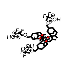 CC1CC2CC(COCC(F)(F)S(=O)(=O)O)CC(C2CC(C)C2(O)C(C)CC3CC(COCC(F)(F)S(=O)(=O)O)CC2C3CCC(C)C2(O)C(C)CC3CC(COCC(F)(F)S(=O)(=O)O)CC2C3)C1(C)O